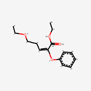 CCOCCC=C(Oc1ccccc1)C(=O)OCC